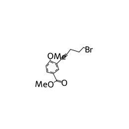 COC(=O)c1ccc(OC)c(C#CCCCBr)c1